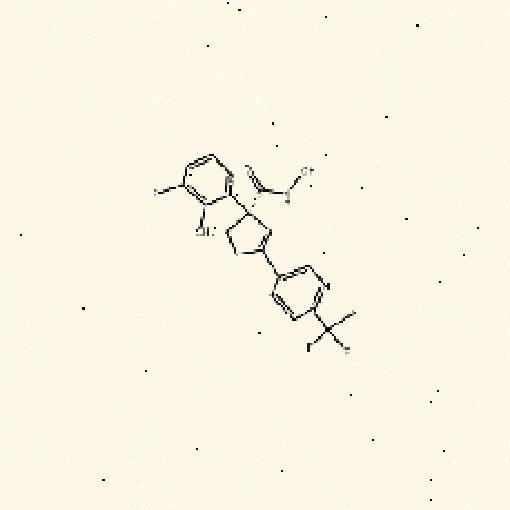 Cc1c(F)cccc1[C@@]1(C(=O)NO)C=C(c2ccc(C(F)(F)F)nc2)CC1